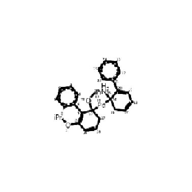 CC(C)OC1=C(c2ccccc2)[C](OC(C)C)([Pd][C]2(N)CC=CC=C2c2ccccc2)CC=C1